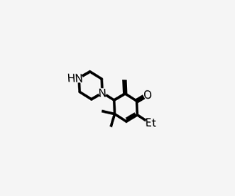 C=C1C(=O)C(CC)=CC(C)(C)C1N1CCNCC1